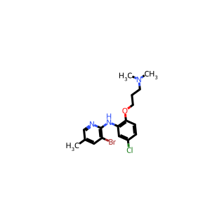 Cc1cnc(Nc2cc(Cl)ccc2OCCCN(C)C)c(Br)c1